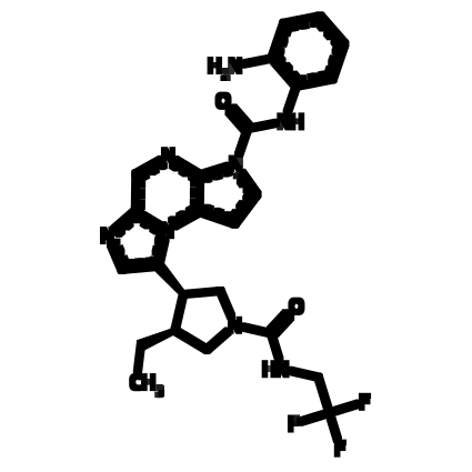 CC[C@@H]1CN(C(=O)NCC(F)(F)F)C[C@@H]1c1cnc2cnc3c(ccn3C(=O)Nc3ccccc3N)n12